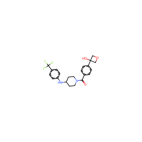 O=C(c1ccc(C2(O)COC2)cc1)N1CCC(Nc2ccc(C(F)(F)F)cc2)CC1